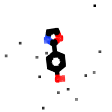 Oc1ccc(-c2ncco2)cc1